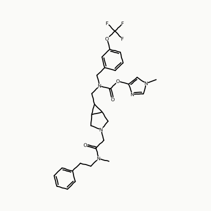 CN(CCc1ccccc1)C(=O)CN1CC2C(C1)C2CN(Cc1cccc(OC(F)(F)F)c1)C(=O)Oc1cn(C)cn1